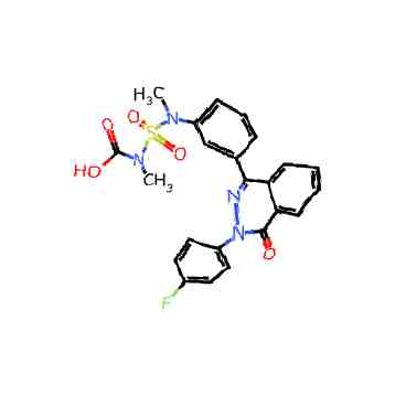 CN(C(=O)O)S(=O)(=O)N(C)c1cccc(-c2nn(-c3ccc(F)cc3)c(=O)c3ccccc23)c1